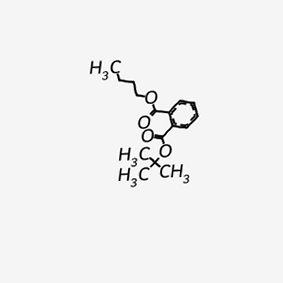 CCCCOC(=O)c1ccccc1C(=O)OC(C)(C)C